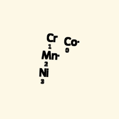 [Co].[Cr].[Mn].[Ni]